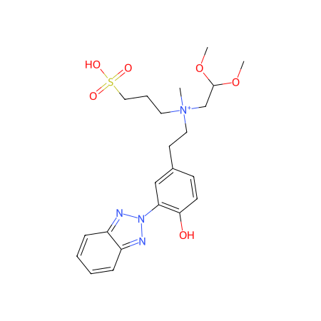 COC(C[N+](C)(CCCS(=O)(=O)O)CCc1ccc(O)c(-n2nc3ccccc3n2)c1)OC